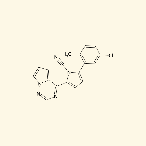 Cc1ccc(Cl)cc1-c1ccc(-c2ncnn3cccc23)n1C#N